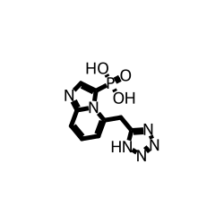 O=P(O)(O)c1cnc2cccc(Cc3nnn[nH]3)n12